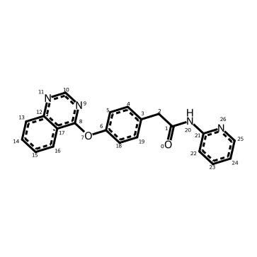 O=C(Cc1ccc(Oc2ncnc3ccccc23)cc1)Nc1ccccn1